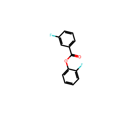 O=C(Oc1ccccc1F)c1cccc(F)c1